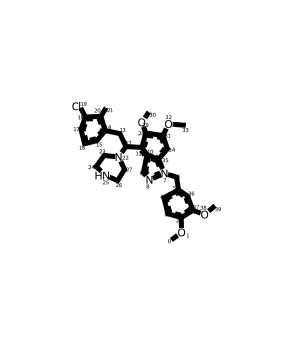 COc1ccc(Cn2ncc3c(C(Cc4cccc(Cl)c4C)N4CCNCC4)c(OC)c(OC)cc32)cc1OC